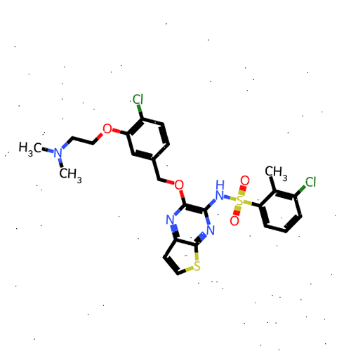 Cc1c(Cl)cccc1S(=O)(=O)Nc1nc2sccc2nc1OCc1ccc(Cl)c(OCCN(C)C)c1